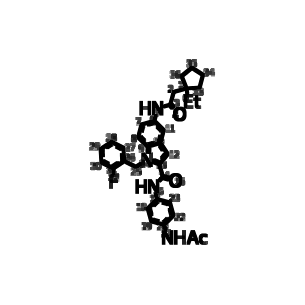 CCC1(CC(=O)Nc2ccc3c(c2)cc(C(=O)Nc2ccc(NC(C)=O)cc2)n3Cc2ccccc2F)CCCC1